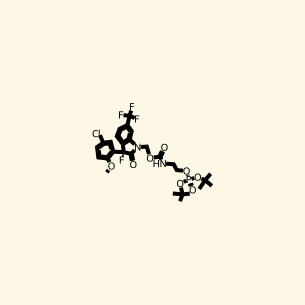 COc1ccc(Cl)cc1[C@]1(F)C(=O)N(COC(=O)NCCOP(=O)(OC(C)(C)C)OC(C)(C)C)c2cc(C(F)(F)F)ccc21